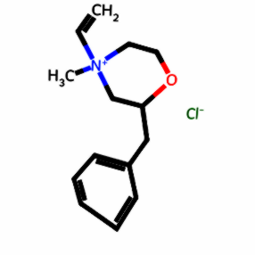 C=C[N+]1(C)CCOC(Cc2ccccc2)C1.[Cl-]